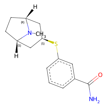 CN1[C@@H]2CC[C@H]1C[C@H](Sc1cccc(C(N)=O)c1)C2